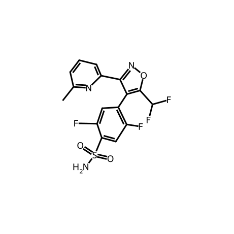 Cc1cccc(-c2noc(C(F)F)c2-c2cc(F)c(S(N)(=O)=O)cc2F)n1